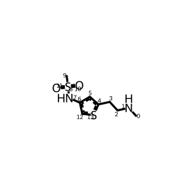 CNCCc1cc(NS(C)(=O)=O)cs1